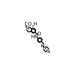 CN1CCN(N=Cc2ccc(NC(=O)c3ccc4c(c3)CCN(CC(=O)O)C4)cc2)CC1